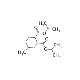 CC1CCC(C(=O)OC(C)C)C(C(=O)OC(C)C)C1